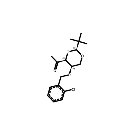 CC(=O)[C@H]1O[C@@H](C(C)(C)C)OC[C@H]1OCc1ccccc1Cl